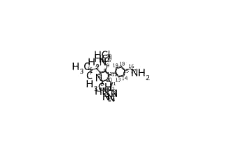 Cc1nc(CC(C)C)c(CN)c(-c2ccc(CN)cc2)c1Cc1nnn[nH]1.Cl.Cl